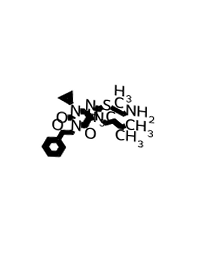 CC(C)=CCn1c(SC(C)(C)CN)nc2c1c(=O)n(CC(=O)c1ccccc1)c(=O)n2C1CC1